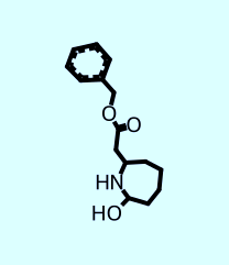 O=C(CC1CCCCC(O)N1)OCc1ccccc1